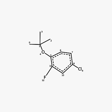 CC(C)(C)Oc1ccc(Cl)cc1F